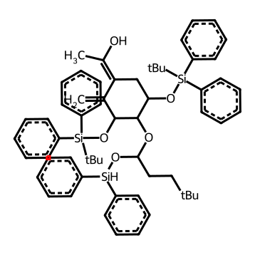 C=C1/C(=C(\C)O)CC(O[Si](c2ccccc2)(c2ccccc2)C(C)(C)C)C(OC(CCC(C)(C)C)O[SiH](c2ccccc2)c2ccccc2)C1O[Si](c1ccccc1)(c1ccccc1)C(C)(C)C